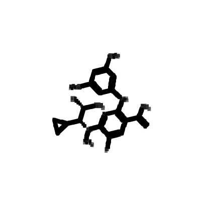 C=C(N)c1cc(F)c(N(N)[C@H](C2CC2)[C@@H](N)CC)nc1Nc1cc(OC)cc(OC)c1